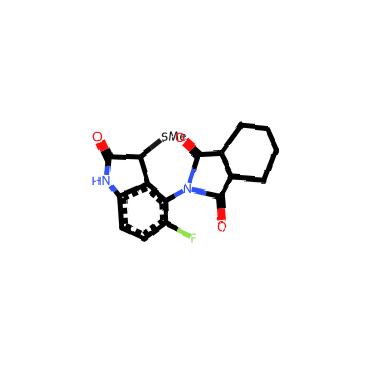 CSC1C(=O)Nc2ccc(F)c(N3C(=O)C4CCCCC4C3=O)c21